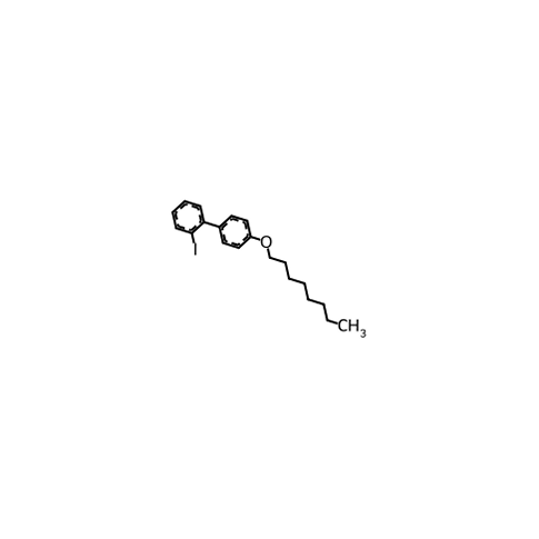 CCCCCCCCOc1ccc(-c2ccccc2I)cc1